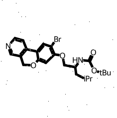 CC(C)CC(COc1cc2c(cc1Br)-c1ccncc1CO2)NC(=O)OC(C)(C)C